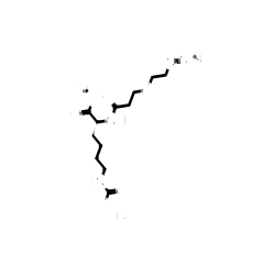 CC(C)(C)OC(=O)NCCCC[C@H](NC(=O)CCOCCN=[N+]=[N-])C(=O)OC(C)(C)C